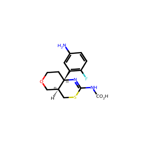 Nc1ccc(F)c([C@]23CCOC[C@@H]2CSC(NC(=O)O)=N3)c1